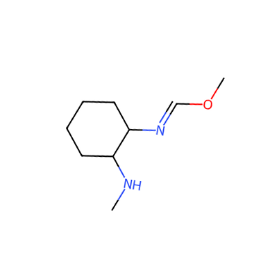 CNC1CCCCC1N=COC